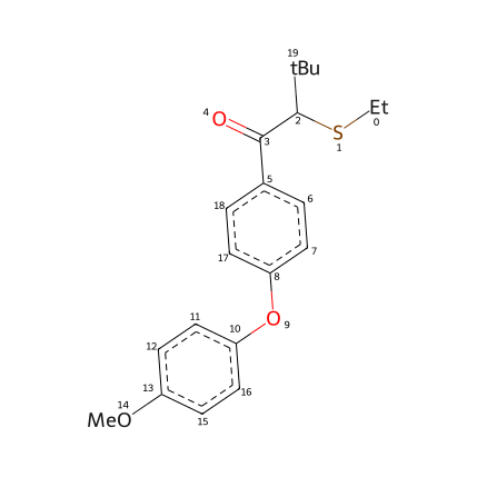 CCSC(C(=O)c1ccc(Oc2ccc(OC)cc2)cc1)C(C)(C)C